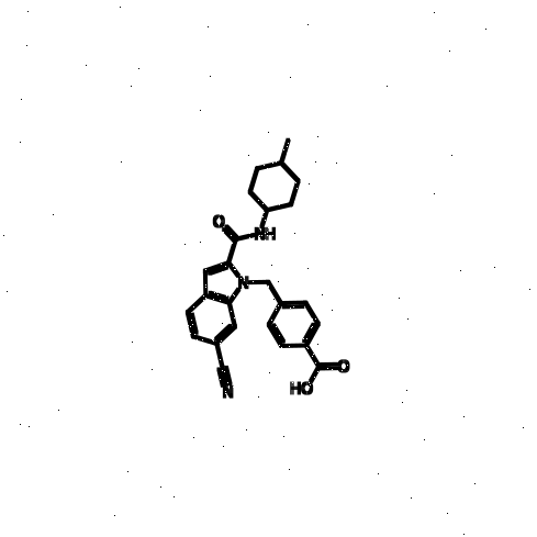 CC1CCC(NC(=O)c2cc3ccc(C#N)cc3n2Cc2ccc(C(=O)O)cc2)CC1